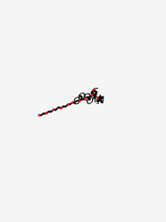 CCCCCCCCCCCCCCCCOCC(COC(=O)c1ccccc1CN1[CH]N(C)C=C1)OC